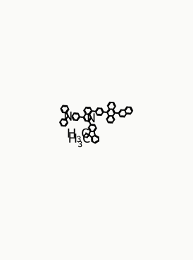 CC1(C)c2ccccc2-c2ccc(-c3cc(-c4ccc(N(c5ccccc5)c5ccccc5)cc4)c4cccc(-c5ccc(-c6c7ccccc7c(-c7ccc8ccccc8c7)c7ccccc67)cc5)c4n3)cc21